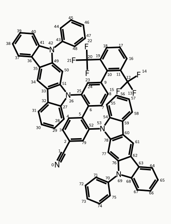 N#Cc1ccc(-c2ccc(-c3c(C(F)(F)F)cccc3C(F)(F)F)cc2-n2c3ccccc3c3cc4c5ccccc5n(-c5ccccc5)c4cc32)c(-n2c3ccccc3c3cc4c5ccccc5n(-c5ccccc5)c4cc32)c1